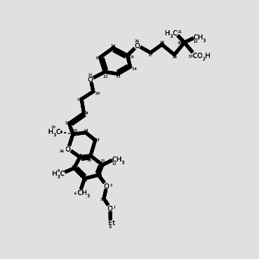 CCOCOc1c(C)c(C)c2c(c1C)CC[C@](C)(C=CCCOc1ccc(OCCCC(C)(C)C(=O)O)cc1)O2